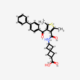 Cc1sc(C)c(C(=O)c2ccc(-c3ccccc3)cc2)c1C(=O)NC1CC2(C1)CC(C(=O)O)C2